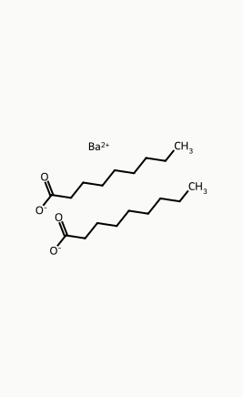 CCCCCCCCC(=O)[O-].CCCCCCCCC(=O)[O-].[Ba+2]